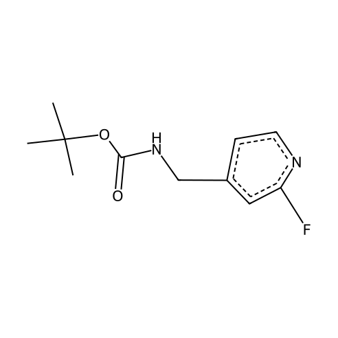 CC(C)(C)OC(=O)NCc1ccnc(F)c1